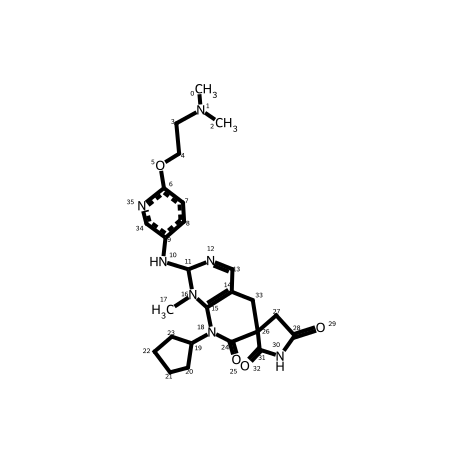 CN(C)CCOc1ccc(NC2N=CC3=C(N2C)N(C2CCCC2)C(=O)C2(CC(=O)NC2=O)C3)cn1